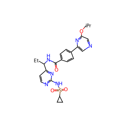 CCC(NC(=O)c1ccc(-c2cncc(OC(C)C)n2)cc1)c1ccnc(NS(=O)(=O)C2CC2)n1